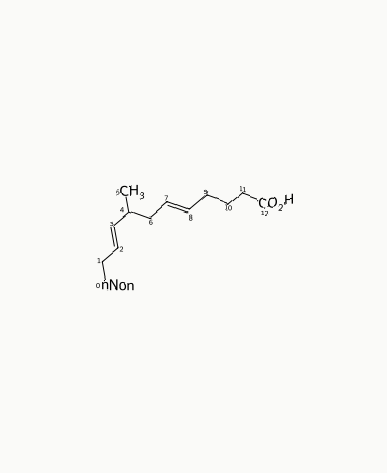 CCCCCCCCCCC=CC(C)CC=CCCCC(=O)O